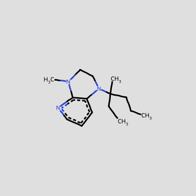 CCCC(C)(CC)N1CCN(C)c2ncccc21